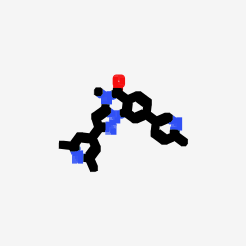 Cc1ccc(-c2ccc3c(=O)n(C)c4cc(-c5cc(C)nc(C)c5)nn4c3c2)cn1